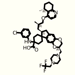 C[C@@H](COc1ccnc2c1[C@H](C)CCC2)C[C@H]1Cc2cc3c(cc2C12CCC(Nc1cccc(Cl)c1)(C(=O)O)CC2)O[C@H](CN1CCN(CC(F)(F)F)CC1)CO3